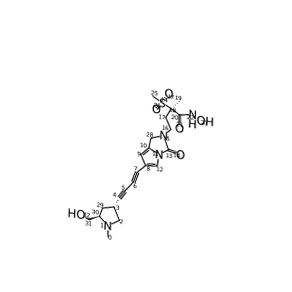 CN1C[C@@H](C#CC#Cc2cc3n(c2)C(=O)N(CC[C@](C)(C(=O)NO)S(C)(=O)=O)C3)C[C@@H]1CO